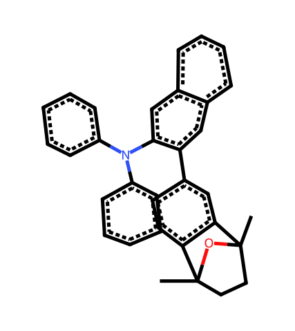 CC12CCC(C)(O1)c1cc(-c3cc4ccccc4cc3N(c3ccccc3)c3ccccc3)ccc12